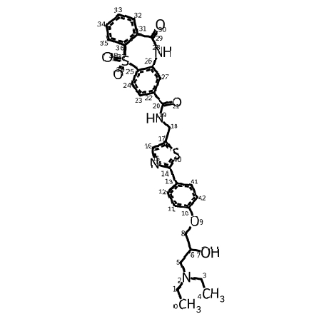 CCN(CC)CC(O)COc1ccc(-c2ncc(CNC(=O)c3ccc4c(c3)NC(=O)c3ccccc3S4(=O)=O)s2)cc1